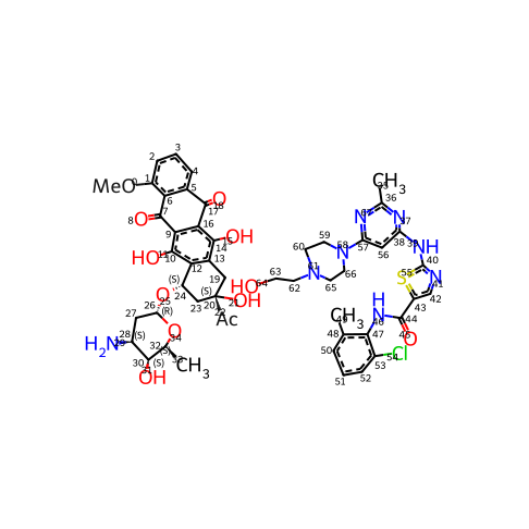 COc1cccc2c1C(=O)c1c(O)c3c(c(O)c1C2=O)C[C@@](O)(C(C)=O)C[C@@H]3O[C@H]1C[C@H](N)[C@H](O)[C@H](C)O1.Cc1nc(Nc2ncc(C(=O)Nc3c(C)cccc3Cl)s2)cc(N2CCN(CCO)CC2)n1